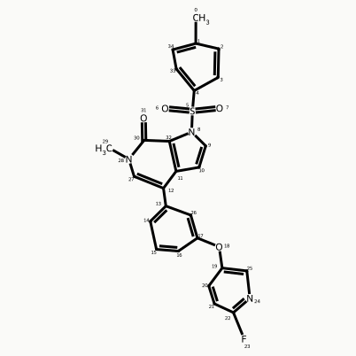 Cc1ccc(S(=O)(=O)n2ccc3c(-c4cccc(Oc5ccc(F)nc5)c4)cn(C)c(=O)c32)cc1